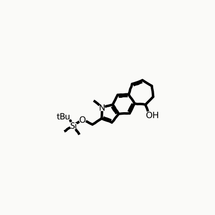 Cn1c(CO[Si](C)(C)C(C)(C)C)cc2cc3c(cc21)C=CCCC3O